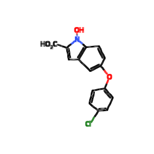 O=C(O)c1cc2cc(Oc3ccc(Cl)cc3)ccc2n1O